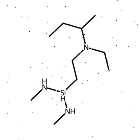 CCC(C)N(CC)CC[SiH](NC)NC